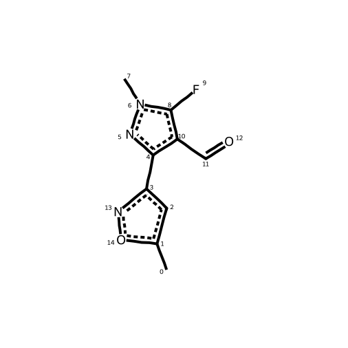 Cc1cc(-c2nn(C)c(F)c2C=O)no1